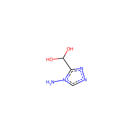 Nn1cnnc1C(O)O